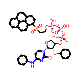 O=c1nc(Nc2ccccc2)ccn1[C@@H]1OCC(OP(=O)(O)OP(=O)(O)OP(=O)(O)OCCS(=O)(=O)c2ccc3ccc4cccc5ccc2c3c45)[C@@H]1Oc1ccccc1